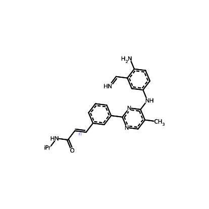 Cc1cnc(-c2cccc(/C=C/C(=O)NC(C)C)c2)nc1Nc1ccc(N)c(C=N)c1